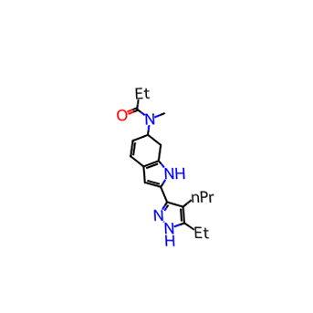 CCCc1c(-c2cc3c([nH]2)CC(N(C)C(=O)CC)C=C3)n[nH]c1CC